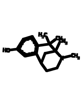 CN1CCC2CC1(C)C(C)(C)c1ccc(O)cc12